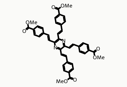 COC(=O)c1ccc(/C=C/c2nc(/C=C/c3ccc(C(=O)OC)cc3)c(/C=C/c3ccc(C(=O)OC)cc3)nc2/C=C/c2ccc(C(=O)OC)cc2)cc1